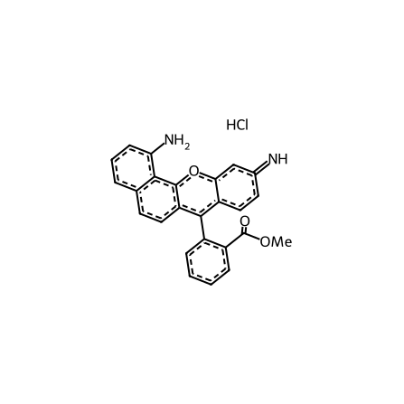 COC(=O)c1ccccc1-c1c2ccc(=N)cc-2oc2c1ccc1cccc(N)c12.Cl